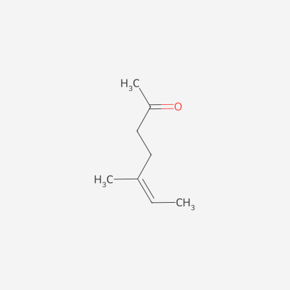 CC=C(C)CCC(C)=O